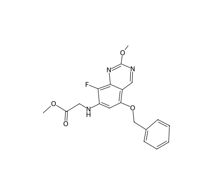 COC(=O)CNc1cc(OCc2ccccc2)c2cnc(OC)nc2c1F